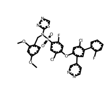 COc1ccc(CN(c2nncs2)S(=O)(=O)c2cc(Cl)c(Oc3cc(Cl)c(-c4ccccc4F)cc3-c3ccnnc3)cc2F)c(OC)c1